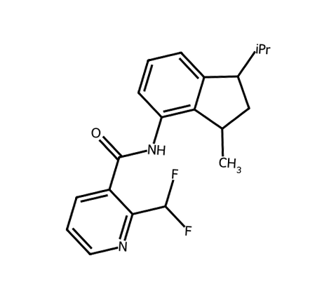 CC1CC(C(C)C)c2cccc(NC(=O)c3cccnc3C(F)F)c21